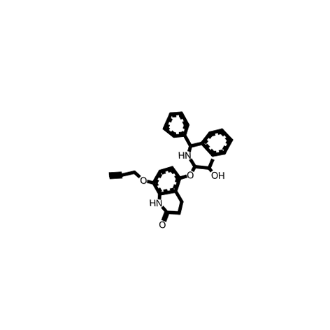 C#CCOc1ccc(OC(NC(c2ccccc2)c2ccccc2)C(C)O)c2c1NC(=O)CC2